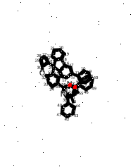 Cc1cncc(-c2ccccc2-c2ccc3c(c2)-c2ccccc2C32c3ccccc3Oc3ccc(-c4nc(-c5ccccc5)cc(-c5ccccc5)n4)cc32)c1